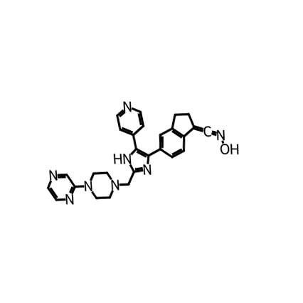 ON=C=C1CCc2cc(-c3nc(CN4CCN(c5cnccn5)CC4)[nH]c3-c3ccncc3)ccc21